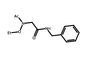 CCON(CC(=O)NCc1ccccc1)C(C)=O